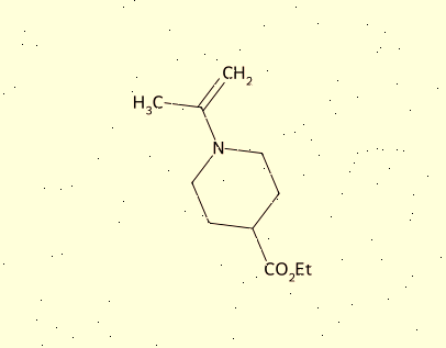 C=C(C)N1CCC(C(=O)OCC)CC1